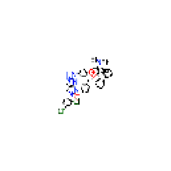 CCN(CC)CCOc1ccc(Nc2ncc3c(n2)N(c2cccc(CCO[Si](c4ccccc4)(c4ccccc4)C(C)(C)C)c2)C(=O)N(c2ccc(Cl)cc2Cl)C3)cc1